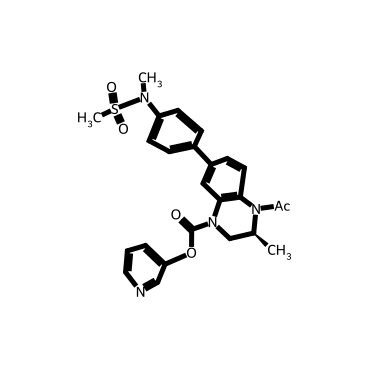 CC(=O)N1c2ccc(-c3ccc(N(C)S(C)(=O)=O)cc3)cc2N(C(=O)Oc2cccnc2)C[C@@H]1C